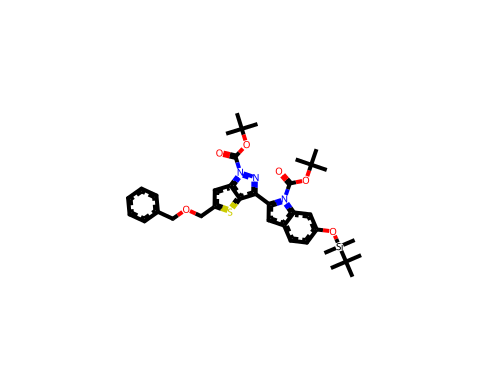 CC(C)(C)OC(=O)n1nc(-c2cc3ccc(O[Si](C)(C)C(C)(C)C)cc3n2C(=O)OC(C)(C)C)c2sc(COCc3ccccc3)cc21